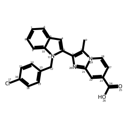 Cc1c(-c2cc3ccccc3n2Cc2ccc(Cl)cc2)nc2cc(C(=O)O)ccn12